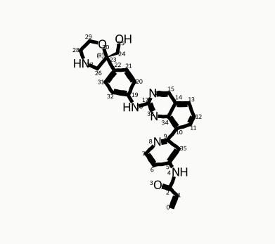 C=CC(=O)Nc1ccnc(-c2cccc3cnc(Nc4ccc([C@]5(CO)CNCCO5)cc4)nc23)c1